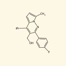 Cc1ccc2c(C(C)C)c(CO)c(-c3ccc(F)cc3)nn12